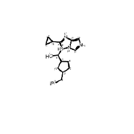 CC(C)CC1CCC(C(O)[SH]2C(C3CC3)=Nc3cncn32)C1